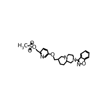 CS(=O)(=O)OCc1ccc(OCC2CCC3CN(c4noc5ccccc45)CCN3C2)cn1